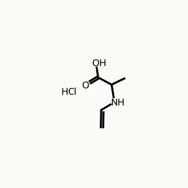 C=CNC(C)C(=O)O.Cl